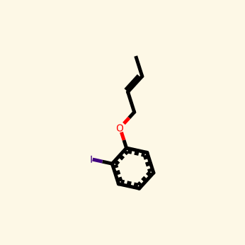 CC=CCOc1ccccc1I